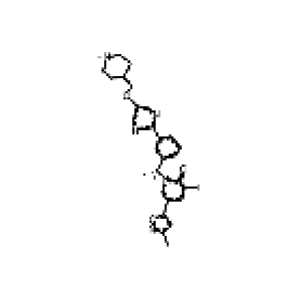 Cc1cc(-c2cc(F)c(=O)n([C@H](C)c3cccc(-c4ncc(OCC5CCNCC5)cn4)c3)c2)on1